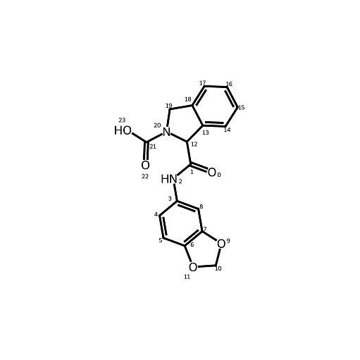 O=C(Nc1ccc2c(c1)OCO2)C1c2ccccc2CN1C(=O)O